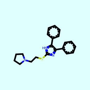 c1ccc(-c2nc(SCCN3CCCC3)[nH]c2-c2ccccc2)cc1